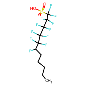 CCCCCC(F)C(F)(F)C(F)(F)C(F)(F)C(F)(F)C(F)(F)S(=O)(=O)O